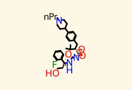 CCCN1CCC(c2ccc(CC3C(C)(C)OC(N[C@@H](CCO)c4ccccc4F)=NS3(=O)=O)cc2)CC1